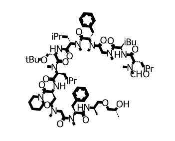 CC[C@H](C)[C@H](NC(=O)[C@H](CC(C)C)N(C)C=O)C(=O)N(C)CC(=O)N(C)[C@@H](Cc1ccccc1)C(=O)N(C)[C@@H](CC(C)C)C(=O)N[C@@H](COC(C)(C)C)C(=O)N(C)[C@@H](CC(C)C)C(=O)N[C@@H](CC(=O)N(C)CC(=O)N(C)[C@@H](Cc1ccccc1)C(=O)N[C@H](C)COC[C@@H](C)O)C(=O)N1CCCCC1